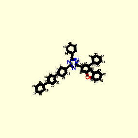 C1=CC(c2nc(-c3ccc(-c4ccc(-c5ccccc5)cc4)cc3)nc(-c3cc(-c4ccccc4)c4c(c3)oc3ccccc34)n2)=CCC1